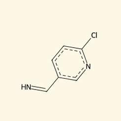 N=Cc1ccc(Cl)nc1